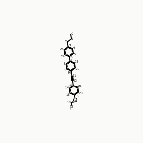 CCCc1ccc(-c2ccc(C#Cc3ccc(OCF)cc3)cc2)cc1